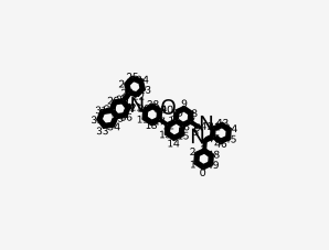 c1ccc(-c2nc(-c3ccc4c5c(cccc35)-c3ccc(-n5c6ccccc6c6cc7ccccc7cc65)cc3O4)nc3ccccc23)cc1